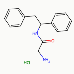 Cl.NCC(=O)NC(Cc1ccccc1)c1ccccc1